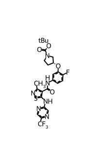 Cc1nsc(Nc2cnc(C(F)(F)F)cn2)c1C(=O)Nc1ccc(F)c(O[C@@H]2CCN(C(=O)OC(C)(C)C)C2)c1